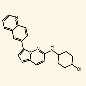 OC1CCC(Nc2ccc3ncc(-c4ccc5ncccc5c4)n3n2)CC1